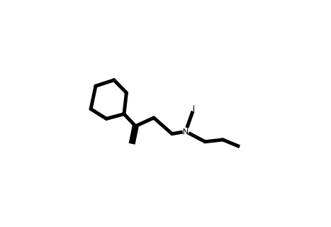 C=C(CCN(I)CCC)C1CCCCC1